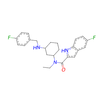 CCN(C(=O)c1cc2cc(F)ccc2[nH]1)C1CCCC(NCc2ccc(F)cc2)C1